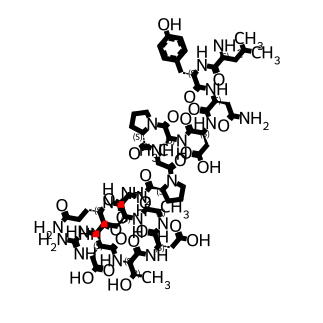 CC(C)C[C@H](N)C(=O)N[C@@H](Cc1ccc(O)cc1)C(=O)N[C@@H](CC(N)=O)C(=O)N[C@@H](CC(=O)O)C(=O)N[C@@H](C)C(=O)N1CCC[C@H]1C(=O)NCC(=O)N1CCC[C@H]1C(=O)NCC(=O)N[C@@H](CCC(N)=O)C(=O)N[C@@H](CC(=O)O)C(=O)N[C@H](C(=O)N[C@@H](CC(=O)O)C(=O)N[C@@H](C)C(=O)N[C@@H](CCCNC(=N)N)C(N)=O)[C@@H](C)O